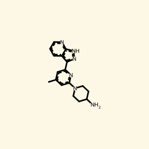 Cc1cc(-c2n[nH]c3ncccc23)nc(N2CCC(N)CC2)c1